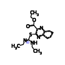 CC/N=C(\NCC)Sc1nc2ccccc2nc1C(=O)OCC